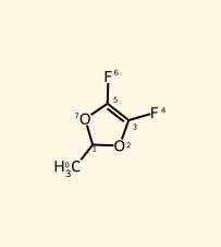 CC1OC(F)=C(F)O1